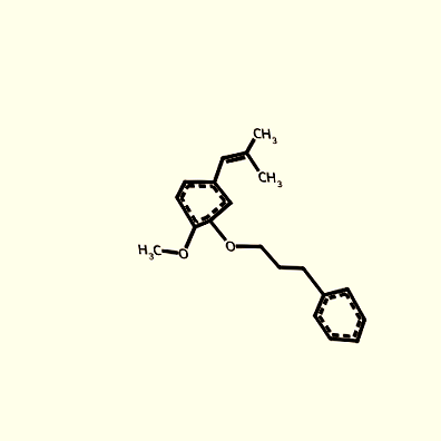 COc1ccc(C=C(C)C)cc1OCCCc1ccccc1